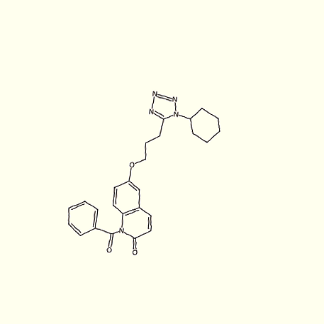 O=C(c1ccccc1)n1c(=O)ccc2cc(OCCCc3nnnn3C3CCCCC3)ccc21